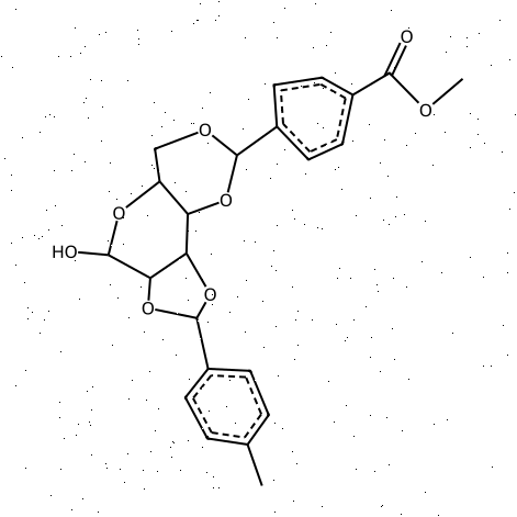 COC(=O)c1ccc(C2OCC3OC(O)C4OC(c5ccc(C)cc5)OC4C3O2)cc1